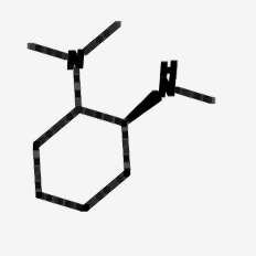 CN[C@H]1CCCCC1N(C)C